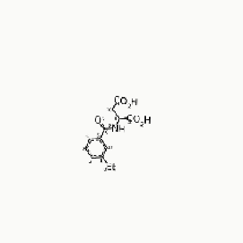 CCc1cccc(C(=O)N[C@@H](CC(=O)O)C(=O)O)c1